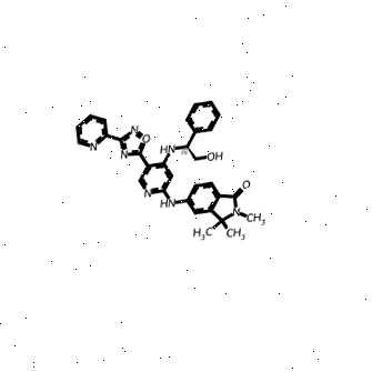 CN1C(=O)c2ccc(Nc3cc(N[C@H](CO)c4ccccc4)c(-c4nc(-c5ccccn5)no4)cn3)cc2C1(C)C